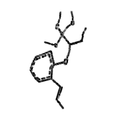 CC=Cc1ccccc1OC(CC)[Si](OC)(OC)OC